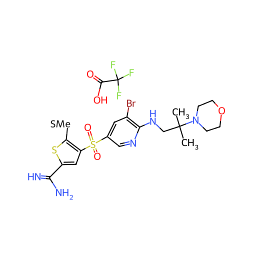 CSc1sc(C(=N)N)cc1S(=O)(=O)c1cnc(NCC(C)(C)N2CCOCC2)c(Br)c1.O=C(O)C(F)(F)F